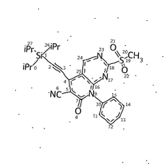 CC(C)[Si](C#Cc1c(C#N)c(=O)n(-c2ccccc2)c2nc(S(C)(=O)=O)ncc12)(C(C)C)C(C)C